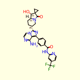 Nc1nccn2c([C@@H]3CC[C@H]4[C@@H](O)C5(CC5)C(=O)N4C3)nc(-c3ccc(C(=O)Nc4cc(C(F)(F)F)ccn4)cc3)c12